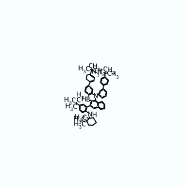 CC(C)(C)C1=CC=C(c2ccc3c(c2)N(c2cccc(-c4ccc(C(C)(C)C)cc4)c2)c2c(c(-c4cc(C(C)(C)C)ccc4NC4(C)CCCCC4(C)C)cc4ccccc24)B3)CC1